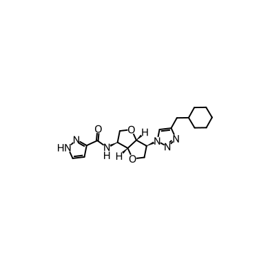 O=C(N[C@H]1CO[C@H]2[C@@H]1OC[C@@H]2n1cc(CC2CCCCC2)nn1)c1cc[nH]n1